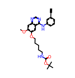 C#Cc1cccc(Nc2ncnc3cc(OC)c(OCCCCCNC(=O)OC(C)(C)C)cc23)c1